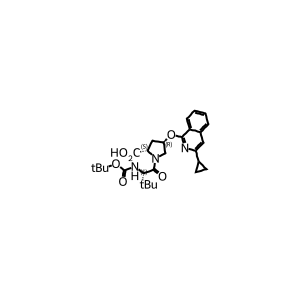 CC(C)(C)OC(=O)N[C@H](C(=O)N1C[C@H](Oc2nc(C3CC3)cc3ccccc23)C[C@H]1C(=O)O)C(C)(C)C